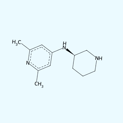 Cc1cc(N[C@@H]2CCCNC2)cc(C)n1